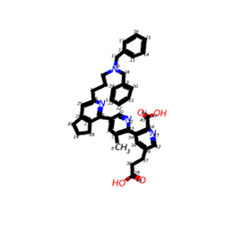 Cc1cc(-c2nc(CCCN(Cc3ccccc3)Cc3ccccc3)cc3c2CCC3)cnc1-c1cc(CCC(=O)O)cnc1C(=O)O